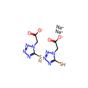 O=C([O-])Cn1nnnc1S.O=C([O-])Cn1nnnc1S.[Na+].[Na+]